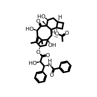 CC(=O)O[C@@]12CC[C@@H]1C[C@H](O)[C@@]1(C)C(=O)[C@H](O)C3=C(C)[C@@H](OC(=O)[C@H](O)[C@@H](NC(=O)c4ccccc4)c4ccccc4)C[C@@](O)([C@@H](C)[C@H]21)C3(C)C